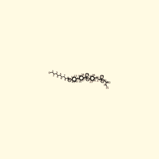 CCCCCCCCCCOc1ccc(-c2ccc(C(=O)Oc3ccc(CCC(=O)OCC(C)CC)cc3)cc2)cc1